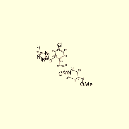 COCC1CCN(C(=O)C=Cc2ccc(Cl)cc2Cn2nnc(C)n2)CC1